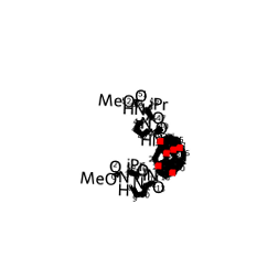 COC(=O)NC(C(=O)N1CCCC1C(=O)Nc1cccc(-c2cc3ccc2CCc2ccc(c(-c4cccc(NC(=O)[C@@H]5CCCN5C(=O)[C@@H](NC(=O)OC)C(C)C)c4)c2)CC3)c1)C(C)C